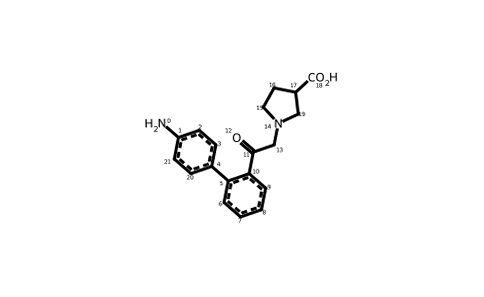 Nc1ccc(-c2ccccc2C(=O)CN2CCC(C(=O)O)C2)cc1